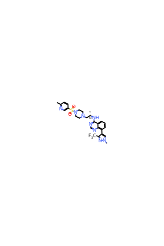 Cc1ccc(S(=O)(=O)N2CCN(C[C@H](C)Nc3ncnc4c(-c5cn(C)nc5C(F)(F)F)cccc34)CC2)cn1